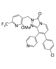 COc1nc(C(F)(F)F)ccc1Cn1nc2c(-c3ccncc3)c(-c3ccc(Cl)cc3)ccn2c1=O